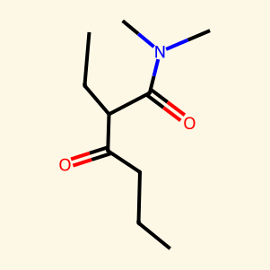 CCCC(=O)C(CC)C(=O)N(C)C